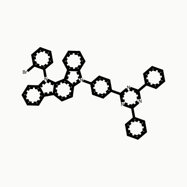 Brc1ccccc1-n1c2ccccc2c2ccc3c(c4ccccc4n3-c3ccc(-c4nc(-c5ccccc5)nc(-c5ccccc5)n4)cc3)c21